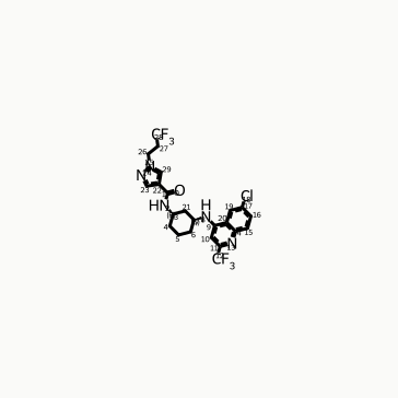 O=C(N[C@@H]1CCC[C@H](Nc2cc(C(F)(F)F)nc3ccc(Cl)cc23)C1)c1cnn(CCC(F)(F)F)c1